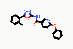 Cc1ccccc1-c1nnc(NC(=O)c2ccc(Oc3ccccc3)nc2)o1